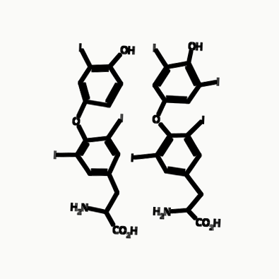 NC(Cc1cc(I)c(Oc2cc(I)c(O)c(I)c2)c(I)c1)C(=O)O.NC(Cc1cc(I)c(Oc2ccc(O)c(I)c2)c(I)c1)C(=O)O